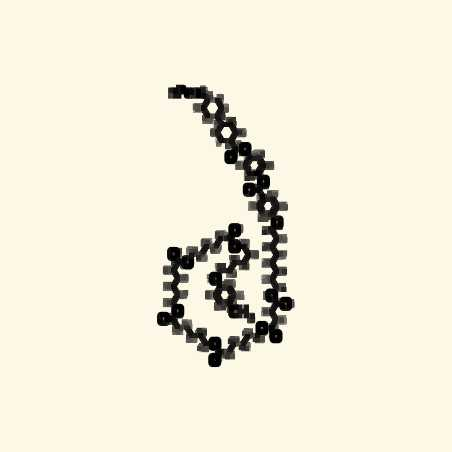 CCCCCC1CCC(C2CCC(C(=O)Oc3ccc(OC(=O)c4ccc(OCCCCCCCCOC(=O)CCC(=O)OCCCCCC(=O)OCCCCCC(=O)OCCCCCC(=O)OCCCCCC(=O)OCCCCCCOc5ccc(C)cc5)cc4)cc3)CC2)CC1